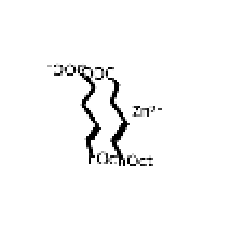 CCCCCCCCC=CCCC(=O)[O-].CCCCCCCCC=CCCC(=O)[O-].[Zn+2]